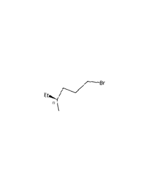 CC[C@H](C)CCCBr